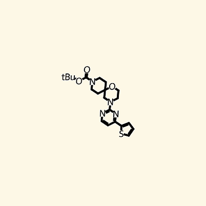 CC(C)(C)OC(=O)N1CCC2(CC1)CN(c1nccc(-c3cccs3)n1)CCO2